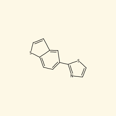 c1csc(-c2ccc3sccc3c2)n1